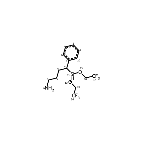 NCCCC(c1ccccc1)[SiH](OCC(F)(F)F)OCC(F)(F)F